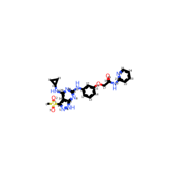 CS(=O)(=O)c1n[nH]c2nc(Nc3cccc(OCC(=O)Nc4ccccn4)c3)nc(NC3CC3)c12